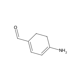 NC1=CC=C(C=O)CC1